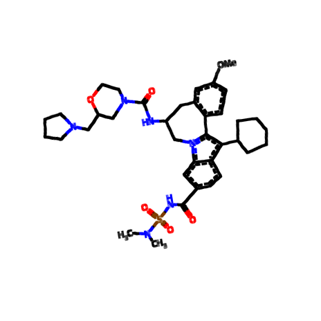 COc1ccc2c(c1)CC(NC(=O)N1CCOC(CN3CCCC3)C1)Cn1c-2c(C2CCCCC2)c2ccc(C(=O)NS(=O)(=O)N(C)C)cc21